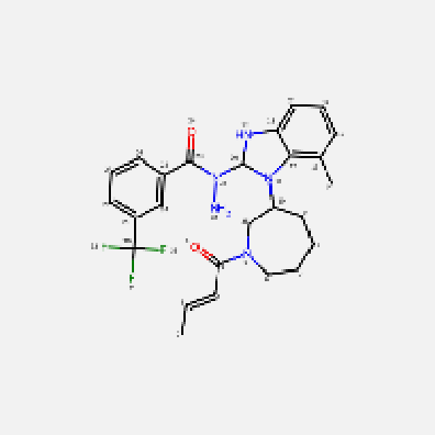 C/C=C/C(=O)N1CCCCC(N2c3c(C)cccc3NC2N(N)C(=O)c2cccc(C(F)(F)F)c2)C1